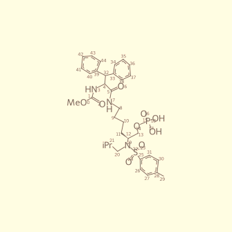 COC(=O)NC(C(=O)NCCCC[C@@H](COP(=O)(O)O)N(CC(C)C)S(=O)(=O)c1ccc(C)cc1)C(c1ccccc1)c1ccccc1